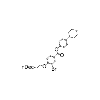 CCCCCCCCCCCCOc1ccc(C(=O)Oc2ccc(C3CC[CH]CC3)cc2)cc1Br